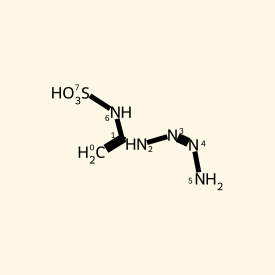 C=C(N/N=N\N)NS(=O)(=O)O